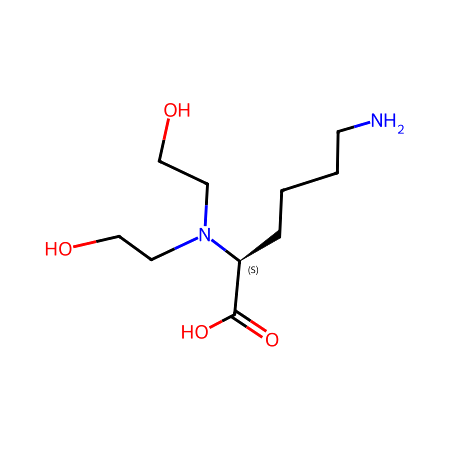 NCCCC[C@@H](C(=O)O)N(CCO)CCO